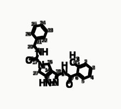 Cc1ccccc1C(=O)Nc1n[nH]c2c1CN(C(=O)NCc1ccccc1)C2